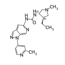 CC[C@@H]1CN(C)C[C@H]1NC(=O)Nc1cc2cnn(-c3ccnc(C)c3)c2cn1